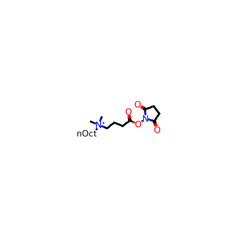 CCCCCCCC[N+](C)(C)CCCC(=O)ON1C(=O)CCC1=O